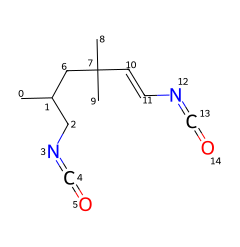 CC(CN=C=O)CC(C)(C)/C=C/N=C=O